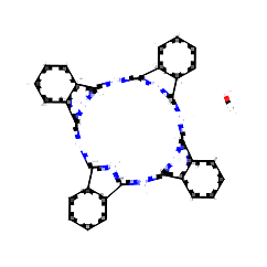 [O]=[Mn].c1ccc2c(c1)-c1nc-2nc2[nH]c(nc3nc(nc4[nH]c(n1)c1ccccc41)-c1ccccc1-3)c1ccccc21